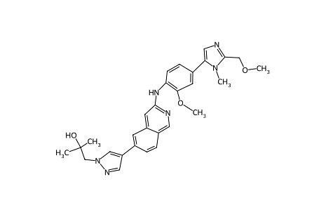 COCc1ncc(-c2ccc(Nc3cc4cc(-c5cnn(CC(C)(C)O)c5)ccc4cn3)c(OC)c2)n1C